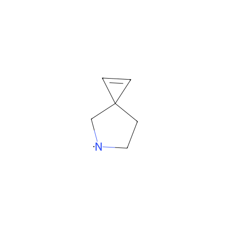 C1=CC12CC[N]C2